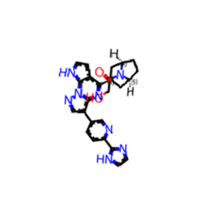 O=C(CO)N1[C@@H]2CC[C@H]1C[C@@H](c1nc3c(-c4ccc(-c5ncc[nH]5)nc4)cnn3c3[nH]ccc13)C2